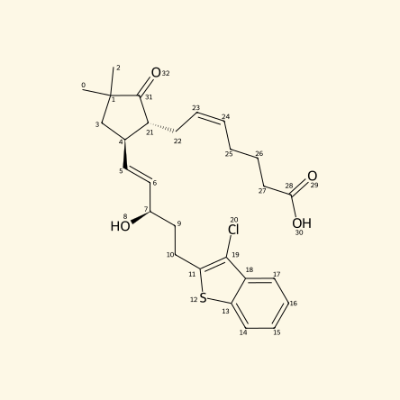 CC1(C)C[C@H](/C=C/[C@H](O)CCc2sc3ccccc3c2Cl)[C@@H](C/C=C\CCCC(=O)O)C1=O